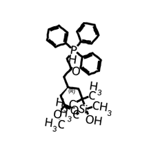 COC(=O)C[C@@H](CC(=O)C[PH](c1ccccc1)(c1ccccc1)c1ccccc1)CC(C)(C)[Si](C)(C)O